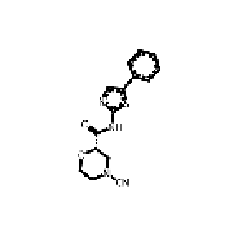 N#CN1CCO[C@H](C(=O)Nc2ncc(-c3ccccc3)s2)C1